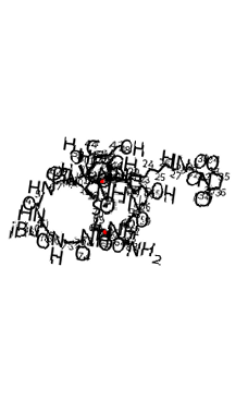 CC[C@H](C)[C@@H]1NC(=O)CNC(=O)[C@H]2Cc3c4[nH]c5cc(ccc35)OC(CCCCCCNC(=O)ON3C(=O)CCC3=O)(C(=O)N[C@@H]([C@@H](C)[C@@H](O)CO)C(=O)N2)[C@@H]2C[C@@H](O)CN2C(=O)[C@H](CC(N)=O)NC(=O)[C@H](C[S+]4[O-])NC(=O)CNC1=O